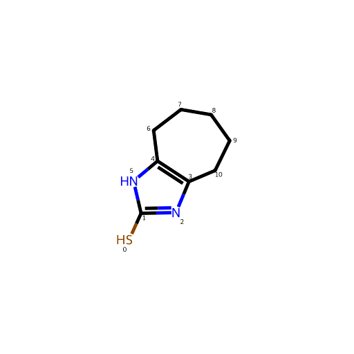 Sc1nc2c([nH]1)CCCCC2